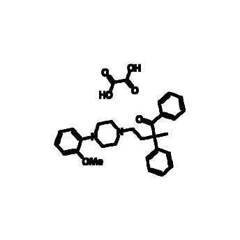 COc1ccccc1N1CCN(CCC(C)(C(=O)c2ccccc2)c2ccccc2)CC1.O=C(O)C(=O)O